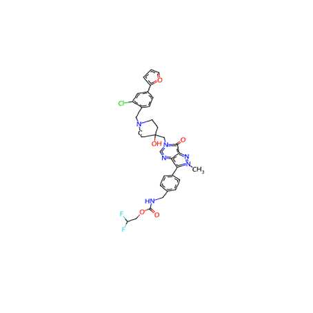 Cn1nc2c(=O)n(CC3(O)CCN(Cc4ccc(-c5ccco5)cc4Cl)CC3)cnc2c1-c1ccc(CNC(=O)OCC(F)F)cc1